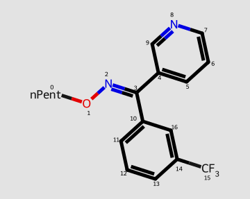 CCCCCO/N=C(/c1cccnc1)c1cccc(C(F)(F)F)c1